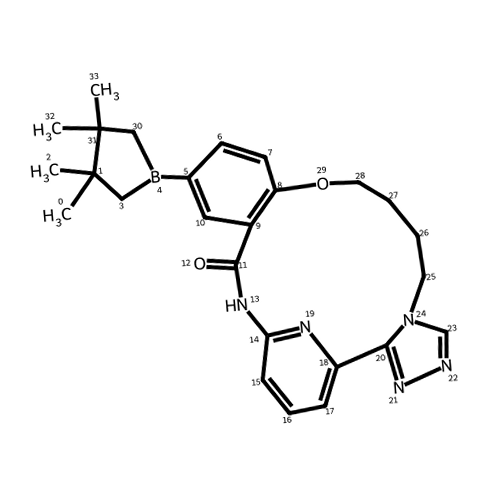 CC1(C)CB(c2ccc3c(c2)C(=O)Nc2cccc(n2)-c2nncn2CCCCO3)CC1(C)C